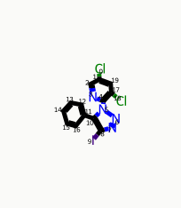 Clc1cnc(-n2nnc(I)c2-c2ccccc2)c(Cl)c1